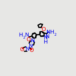 NC(=O)c1ccc(-c2cc(OC3CCCC3)c3c(N)n[nH]c3c2)cc1N1CCN(C(=O)N2CCOCC2)CC1